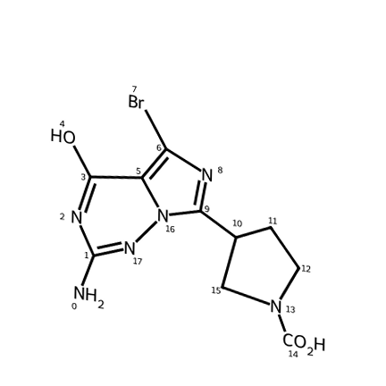 Nc1nc(O)c2c(Br)nc(C3CCN(C(=O)O)C3)n2n1